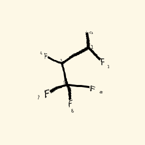 [CH2]C(F)C(F)C(F)(F)F